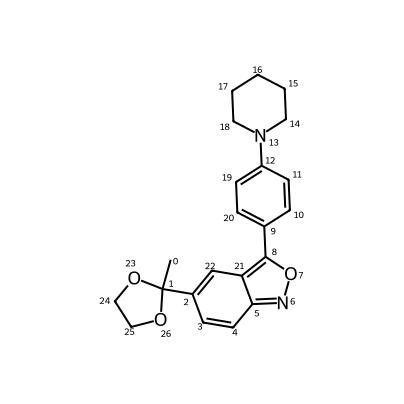 CC1(c2ccc3noc(-c4ccc(N5CCCCC5)cc4)c3c2)OCCO1